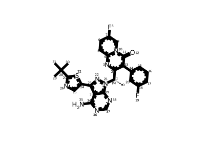 C[C@@H](c1nc2ccc(F)cn2c(=O)c1-c1cccc(F)c1)n1nc(-c2cnc(C(C)(C)C)s2)c2c(N)ncnc21